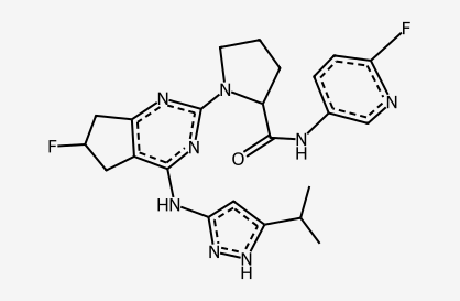 CC(C)c1cc(Nc2nc(N3CCCC3C(=O)Nc3ccc(F)nc3)nc3c2CC(F)C3)n[nH]1